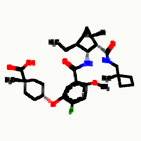 CC[C@H]1C2=C[C@@H]2[C@H](C(=O)NCC2(C)CCC2)[C@@H]1NC(=O)c1cc(O[C@H]2CC[C@@](C)(C(=O)O)CC2)c(F)cc1OC